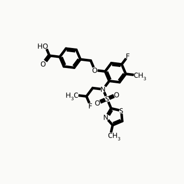 Cc1csc(S(=O)(=O)N(CC(C)F)c2cc(C)c(F)cc2OCc2ccc(C(=O)O)cc2)n1